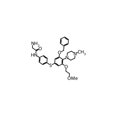 COCCOc1cc(Sc2ccc(NC(=O)CN)cc2)cc(OCc2ccccc2)c1N1CCN(C)CC1